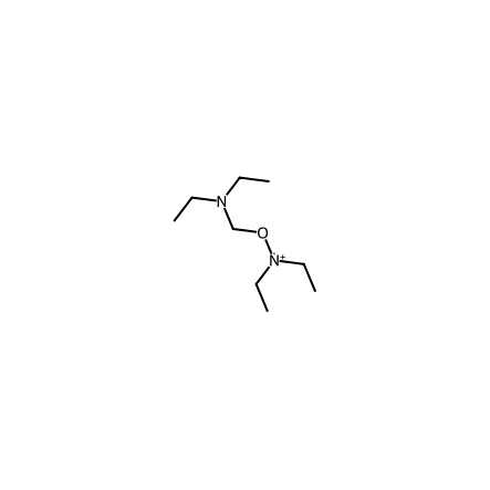 CCN(CC)CO[N+](CC)CC